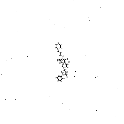 CC(C)N[C@H](CCCCN1CCCCC1)C(=O)N1CCN(C2=N[C@@H](C)[C@H](c3ccccc3)O2)C[C@H]1C